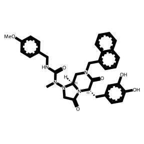 COc1ccc(CNC(=O)N(C)N2CC(=O)N3[C@@H](Cc4ccc(O)c(O)c4)C(=O)N(Cc4cccc5ccccc45)C[C@@H]32)cc1